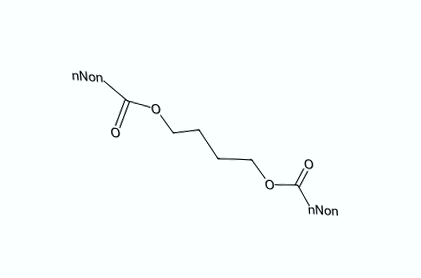 CCCCCCCCCC(=O)OCCCCOC(=O)CCCCCCCCC